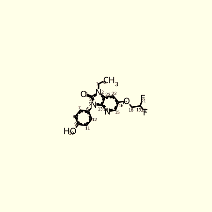 CCn1c(=O)n(-c2ccc(O)cc2)c2ncc(OCC(F)F)cc21